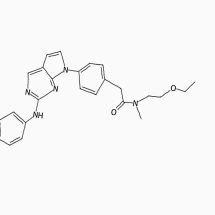 CCOCCN(C)C(=O)Cc1ccc(-n2ccc3cnc(Nc4ccccc4)nc32)cc1